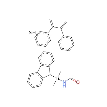 C=C(C(=C)c1ccccc1)c1ccccc1.[CH3][Ti]([CH3])([NH]C=O)[CH]1c2ccccc2-c2ccccc21.[SiH4]